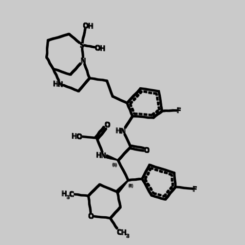 CC1CC([C@H](c2ccc(F)cc2)[C@@H](NC(=O)O)C(=O)Nc2cc(F)ccc2CCC2CNC3CCCS(O)(O)N2C3)CC(C)O1